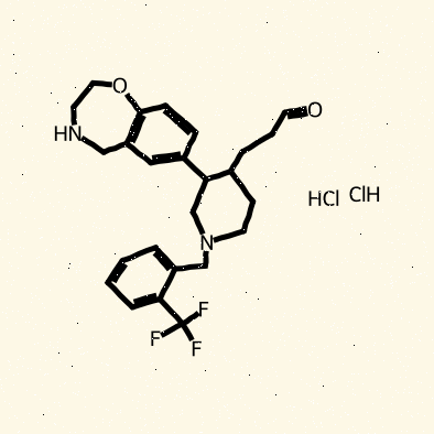 Cl.Cl.O=CCCC1CCN(Cc2ccccc2C(F)(F)F)CC1c1ccc2c(c1)CNCCO2